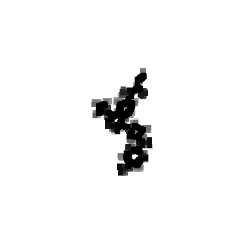 C=CC(=O)Nc1ccc2c(N3CCC(Nc4ncc(Br)cn4)C3)nnc(N3CCC3)c2c1